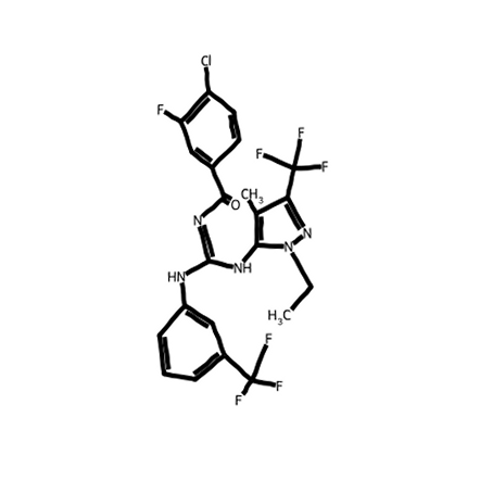 CCn1nc(C(F)(F)F)c(C)c1N/C(=N\C(=O)c1ccc(Cl)c(F)c1)Nc1cccc(C(F)(F)F)c1